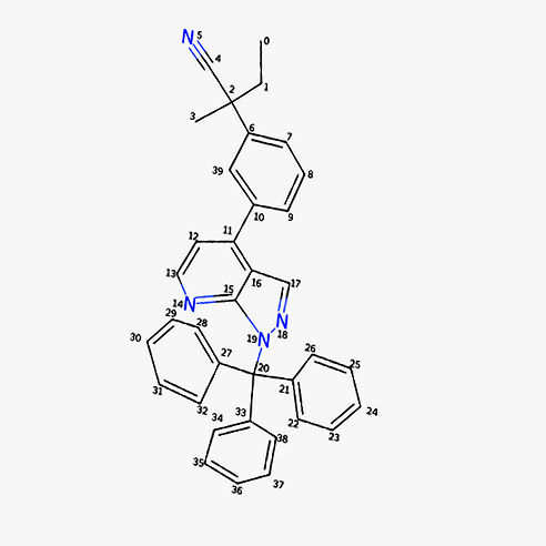 CCC(C)(C#N)c1cccc(-c2ccnc3c2cnn3C(c2ccccc2)(c2ccccc2)c2ccccc2)c1